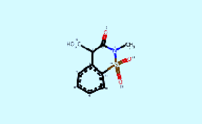 CN1C(=O)C(C(=O)O)c2ccccc2S1(=O)=O